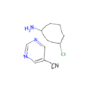 N#Cc1cncnc1.NC1CCCC(Cl)C1